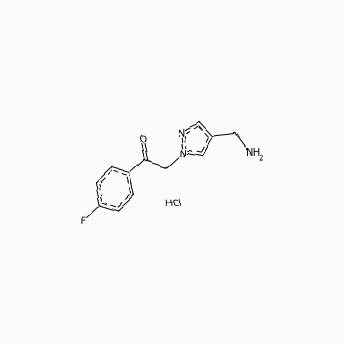 Cl.NCc1cnn(CC(=O)c2ccc(F)cc2)c1